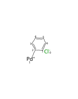 [Cl-].[Pd+][c]1ccccc1